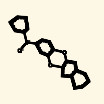 [O-][S+](c1ccccc1)c1ccc2c(c1)Oc1cc3ccccc3cc1O2